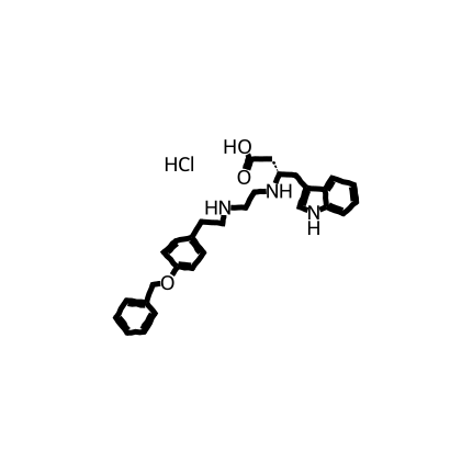 Cl.O=C(O)C[C@H](Cc1c[nH]c2ccccc12)NCCNCCc1ccc(OCc2ccccc2)cc1